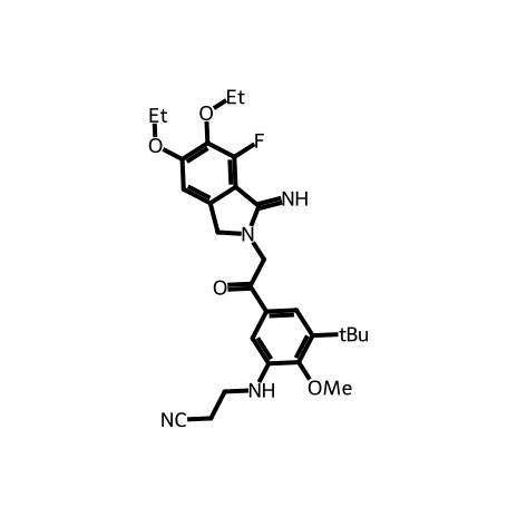 CCOc1cc2c(c(F)c1OCC)C(=N)N(CC(=O)c1cc(NCCC#N)c(OC)c(C(C)(C)C)c1)C2